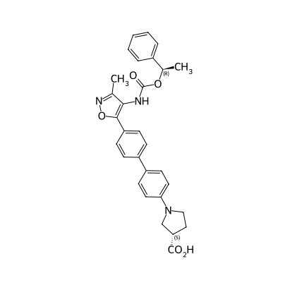 Cc1noc(-c2ccc(-c3ccc(N4CC[C@H](C(=O)O)C4)cc3)cc2)c1NC(=O)O[C@H](C)c1ccccc1